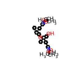 CC(C)(C)OC(=O)N1CC=C(c2ccc(C3c4ccc(O)cc4CC(Oc4ccc5c(c4)CC[C@H](c4ccccc4)[C@@H]5c4ccc(C5CCN(C(=O)OC(C)(C)C)CC5)cc4)C3c3ccccc3)cc2)CC1